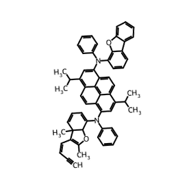 C#C/C=C\C1=C(C)OC2C(N(c3ccccc3)c3cc(C(C)C)c4ccc5c(N(c6ccccc6)c6cccc7c6oc6ccccc67)cc(C(C)C)c6ccc3c4c65)=CC=CC12C